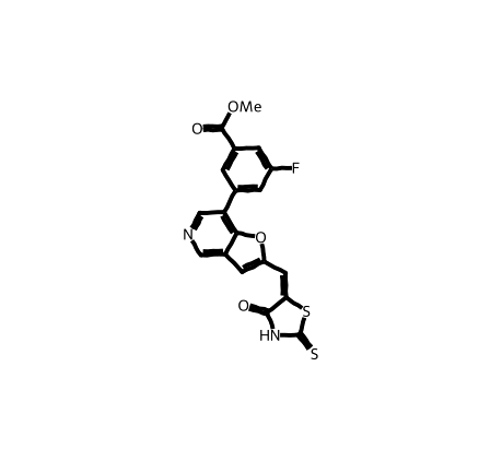 COC(=O)c1cc(F)cc(-c2cncc3cc(C=C4SC(=S)NC4=O)oc23)c1